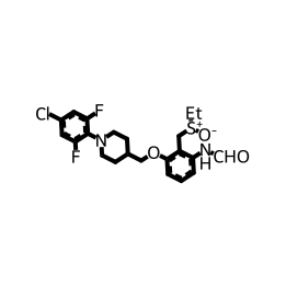 CC[S+]([O-])Cc1c(NC=O)cccc1OCC1CCN(c2c(F)cc(Cl)cc2F)CC1